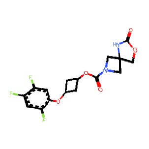 O=C1NC2(CO1)CN(C(=O)OC1CC(Oc3cc(F)c(F)cc3F)C1)C2